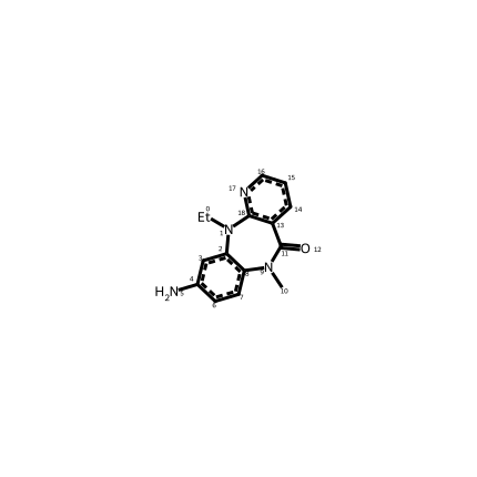 CCN1c2cc(N)ccc2N(C)C(=O)c2cccnc21